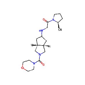 N#C[C@@H]1CCCN1C(=O)CNC1C[C@@H]2CN(C(=O)N3CCOCC3)C[C@@H]2C1